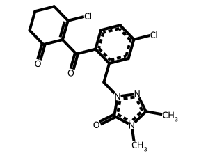 Cc1nn(Cc2cc(Cl)ccc2C(=O)C2=C(Cl)CCCC2=O)c(=O)n1C